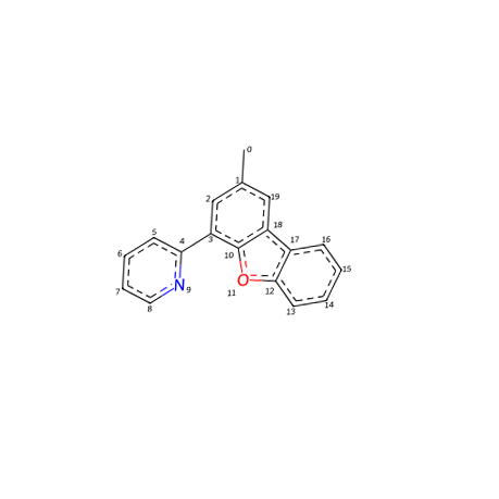 Cc1cc(-c2ccccn2)c2oc3ccccc3c2c1